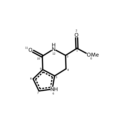 COC(=O)C1Cc2[nH]ccc2C(=O)N1